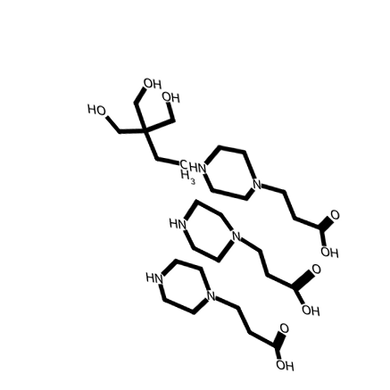 CCC(CO)(CO)CO.O=C(O)CCN1CCNCC1.O=C(O)CCN1CCNCC1.O=C(O)CCN1CCNCC1